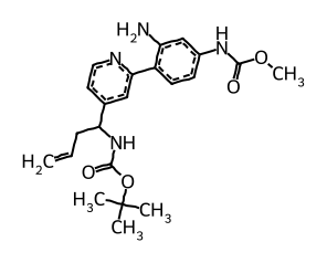 C=CCC(NC(=O)OC(C)(C)C)c1ccnc(-c2ccc(NC(=O)OC)cc2N)c1